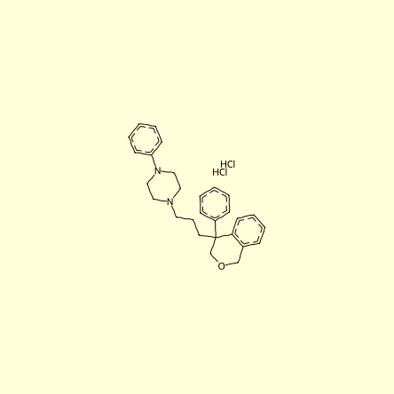 Cl.Cl.c1ccc(N2CCN(CCCC3(c4ccccc4)COCc4ccccc43)CC2)cc1